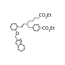 CCOC(=O)CCCCC(/C=C/c1ccccc1OCc1cc2ccccc2s1)Cc1ccc(C(=O)OCC)cc1